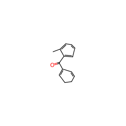 Cc1ccccc1C(=O)C1=CCCC=C1